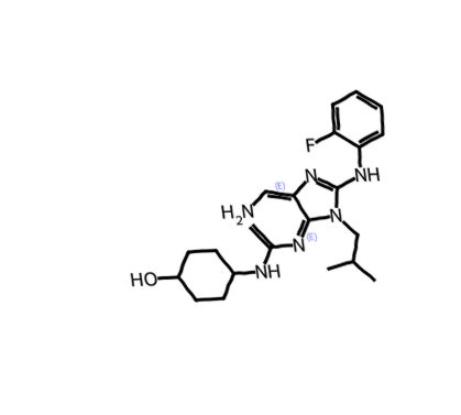 C=C(/N=C1\C(=C/N)N=C(Nc2ccccc2F)N1CC(C)C)NC1CCC(O)CC1